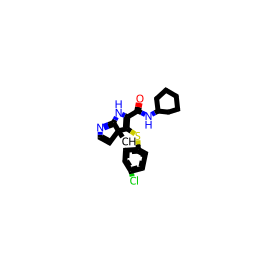 CC12C=CN=C1NC(C(=O)NC1CCCCC1)=C2Sc1ccc(Cl)cc1